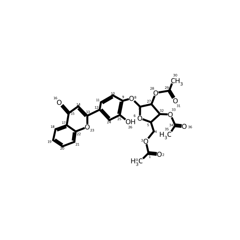 CC(=O)OCC1OC(Oc2ccc(-c3cc(=O)c4ccccc4o3)cc2O)C(OC(C)=O)C1OC(C)=O